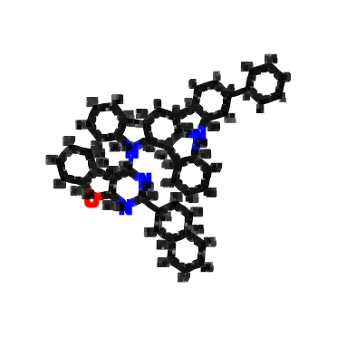 c1ccc(-c2ccc3c4cc5c6ccccc6n(-c6nc(-c7ccc8ccccc8c7)nc7oc8ccccc8c67)c5c5c6ccccc6n(c3c2)c45)cc1